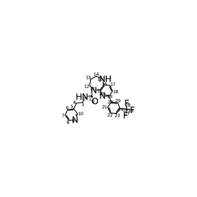 O=C(NCCc1cccnc1)N1CCCNc2ccc(-c3cccc(C(F)(F)F)c3)nc21